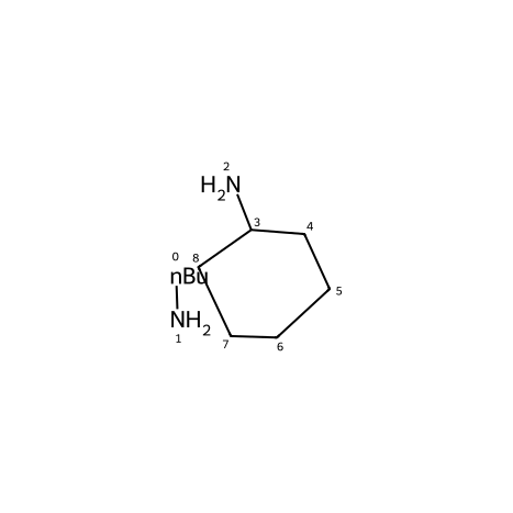 CCCCN.NC1CCCCC1